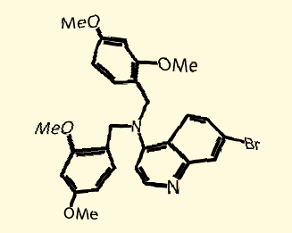 COc1ccc(CN(Cc2ccc(OC)cc2OC)c2ccnc3cc(Br)ccc23)c(OC)c1